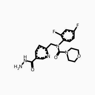 NNC(=O)c1ccc(CN(C(=O)N2CCOCC2)c2ccc(F)cc2F)nc1